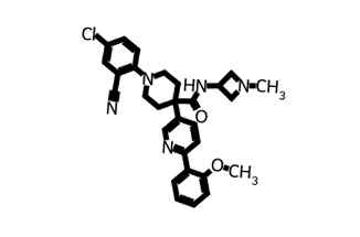 COc1ccccc1-c1ccc(C2(C(=O)NC3CN(C)C3)CCN(c3ccc(Cl)cc3C#N)CC2)cn1